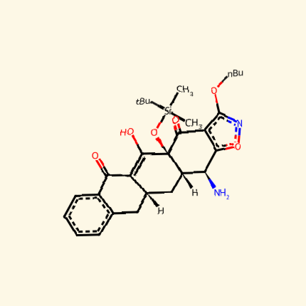 CCCCOc1noc2c1C(=O)[C@@]1(O[Si](C)(C)C(C)(C)C)C(O)=C3C(=O)c4ccccc4C[C@H]3C[C@H]1[C@@H]2N